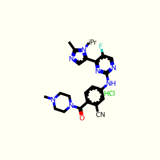 Cc1ncc(-c2nc(Nc3ccc(C(=O)N4CCN(C)CC4)c(C#N)c3)ncc2F)n1C(C)C.Cl